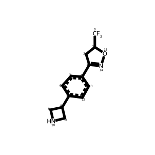 FC(F)(F)C1CC(c2ccc(C3CNC3)cc2)=NO1